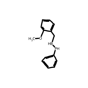 COc1ccccc1CBPc1ccccc1